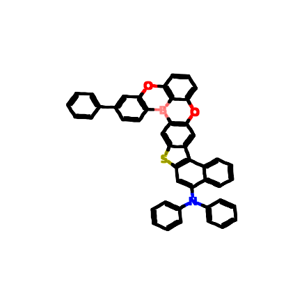 c1ccc(-c2ccc3c(c2)Oc2cccc4c2B3c2cc3sc5cc(N(c6ccccc6)c6ccccc6)c6ccccc6c5c3cc2O4)cc1